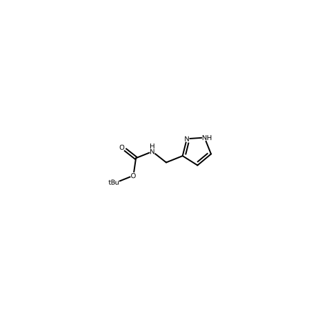 CC(C)(C)OC(=O)NCc1cc[nH]n1